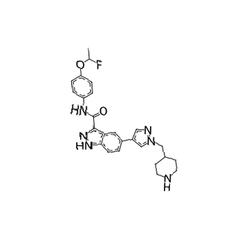 CC(F)Oc1ccc(NC(=O)c2n[nH]c3ccc(-c4cnn(CC5CCNCC5)c4)cc23)cc1